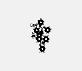 CCN(CC)c1ccc2c(c1)N=C(C)OC21c2ccc(N(Cc3ccccc3)Cc3ccccc3)cc2-c2ccc(N(Cc3ccccc3)Cc3ccccc3)cc21